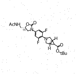 CC(=O)NC[C@H]1CN(c2cc(F)c(N3C[C@@H]4C(C(=O)OC(C)(C)C)[C@@H]4C3)c(F)c2)C(=O)O1